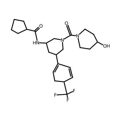 O=C(NC1CC(C2=CCC(C(F)(F)F)C=C2)CN(C(=O)N2CCC(O)CC2)C1)C1CCCC1